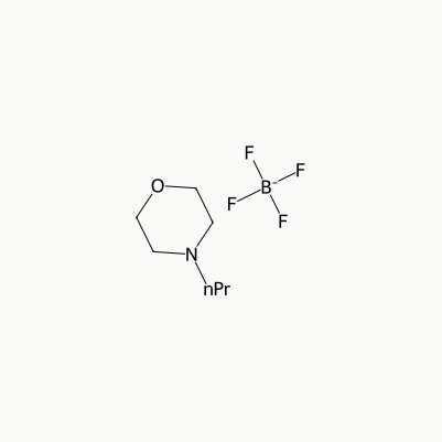 CCCN1CCOCC1.F[B-](F)(F)F